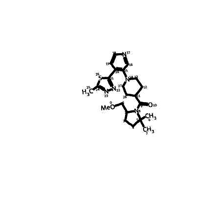 COCC1CCC(C)(C)N1C(=O)C1CCN(c2cnccc2-c2nnc(C)s2)CC1